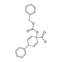 O=C(OCc1ccccc1)OC1(C(=O)Cl)C=CC(c2ccccc2)C=C1